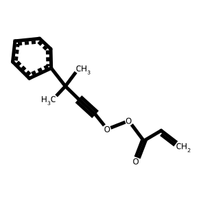 C=CC(=O)OOC#CC(C)(C)c1ccccc1